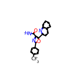 [NH]C(=O)c1nc(-c2ccc(C(F)(F)F)cc2)oc1-c1ccc2ccccc2n1